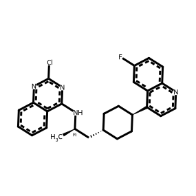 C[C@H](C[C@H]1CC[C@H](c2ccnc3ccc(F)cc32)CC1)Nc1nc(Cl)nc2ccccc12